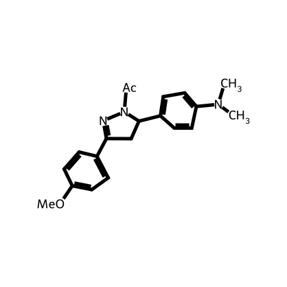 COc1ccc(C2=NN(C(C)=O)C(c3ccc(N(C)C)cc3)C2)cc1